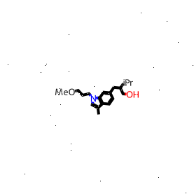 COCCCn1cc(C)c2ccc(CC(CO)C(C)C)cc21